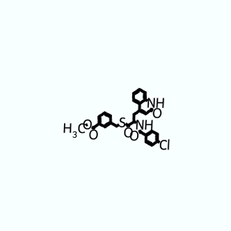 COC(=O)c1cccc(CSC(=O)C(Cc2cc(=O)[nH]c3ccccc23)NC(=O)c2ccc(Cl)cc2)c1